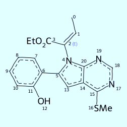 C/C=C(\C(=O)OCC)n1c(-c2ccccc2O)cc2c(SC)ncnc21